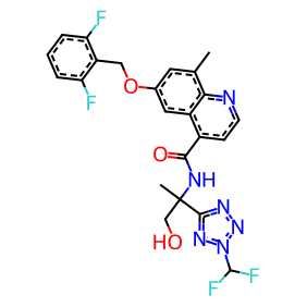 Cc1cc(OCc2c(F)cccc2F)cc2c(C(=O)NC(C)(CO)c3nnn(C(F)F)n3)ccnc12